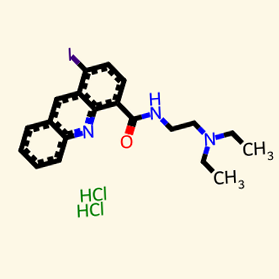 CCN(CC)CCNC(=O)c1ccc(I)c2cc3ccccc3nc12.Cl.Cl